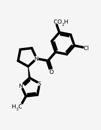 Cc1csc([C@H]2CCCN2C(=O)c2cc(Cl)cc(C(=O)O)c2)n1